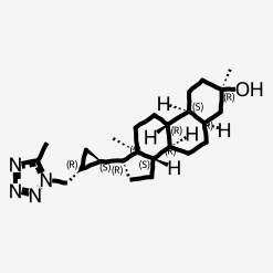 Cc1nnnn1C[C@@H]1C[C@H]1[C@H]1CC[C@H]2[C@@H]3CC[C@@H]4C[C@](C)(O)CC[C@@H]4[C@H]3CC[C@]12C